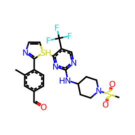 Cc1cc(C=O)ccc1C1=NC=C[SH]1c1nc(NC2CCN(S(C)(=O)=O)CC2)ncc1C(F)(F)F